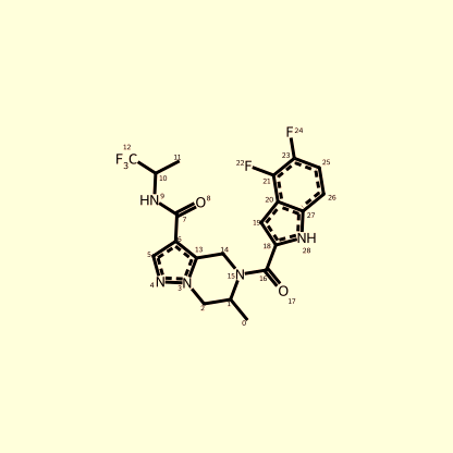 CC1Cn2ncc(C(=O)NC(C)C(F)(F)F)c2CN1C(=O)c1cc2c(F)c(F)ccc2[nH]1